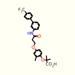 Cc1cc(OCCC(=O)Nc2cccc(-c3ccc(C(F)(F)F)cc3)c2)ccc1OC(C)(C)C(=O)O